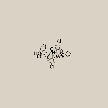 CCC(O)(c1cc(F)c2c(c1)C(=O)N([C@H](c1ccc(Cl)cc1)[C@H](C)C(=O)Oc1ccccc1)[C@@]2(OC)c1ccc(Cl)cc1)C1CCOCC1